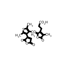 CC1=C(CCC(=O)O)C(=O)OC1=O.Cc1sc(C)c(C2=CC(=O)OC2=O)c1C